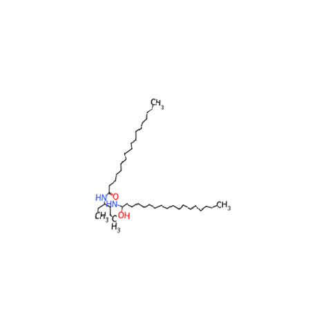 CCCCCCCCCCCCCCCCCC(=O)NC(CC)C(CC)NC(O)CCCCCCCCCCCCCCCCC